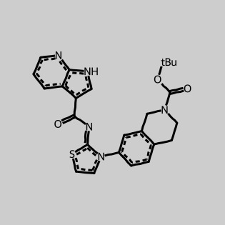 CC(C)(C)OC(=O)N1CCc2ccc(-n3ccsc3=NC(=O)c3c[nH]c4ncccc34)cc2C1